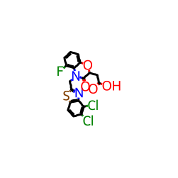 O=C(O)CC1Oc2cccc(F)c2N(Cc2nc3c(Cl)c(Cl)ccc3s2)C1=O